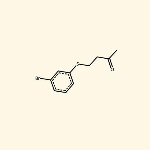 CC(=O)CCSc1cccc(Br)c1